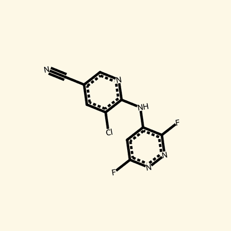 N#Cc1cnc(Nc2cc(F)nnc2F)c(Cl)c1